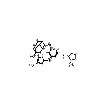 Cc1cc(Nc2cc(OC[C@@H]3CCCN3C)nc(NC3C4CC5CC3CC(O)(C5)C4)n2)n[nH]1